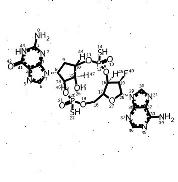 Nc1nc2c(ncn2[C@@H]2C[C@@H]3OP(=O)(S)O[C@@H]4C(COP(=O)(S)O[C@@H]2[C@@H]3O)O[C@@H](n2cnc3c(N)ncnc32)[C@@H]4F)c(=O)[nH]1